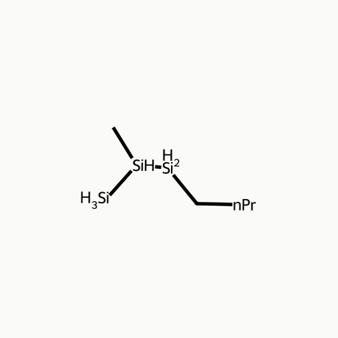 CCCC[SiH2][SiH](C)[SiH3]